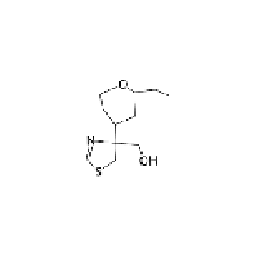 CCC1CC(C2(CO)CSC=N2)CCO1